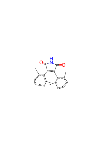 Cc1cccc(C)c1C1=C(c2c(C)cccc2C)C(=O)NC1=O